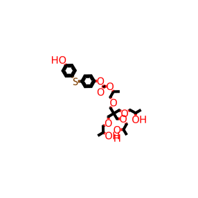 CC(O)COCC(COCC(C)O)(COCC(C)O)COCC(C)OC(=O)Oc1ccc(Sc2ccc(O)cc2)cc1